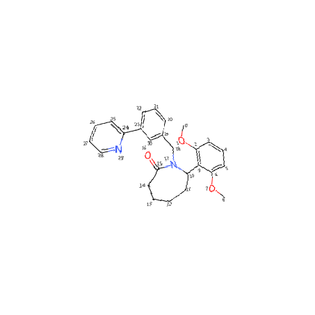 COc1cccc(OC)c1C1CCCCC(=O)N1Cc1cccc(-c2ccccn2)c1